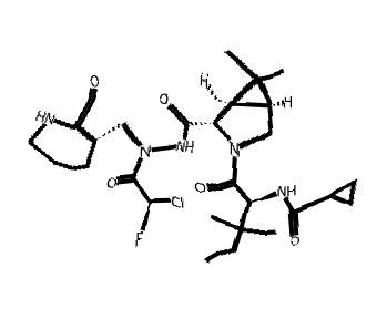 CCC(C)(C)[C@H](NC(=O)C1CC1)C(=O)N1C[C@H]2[C@@H]([C@H]1C(=O)NN(C[C@@H]1CCCNC1=O)C(=O)[C@H](F)Cl)C2(C)C